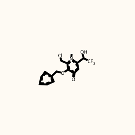 Cn1c(C(O)C(F)(F)F)cc(=O)c(OCc2ccccc2)c1CCl